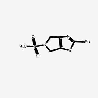 CC(C)(C)c1nc2c(s1)CN(S(C)(=O)=O)C2